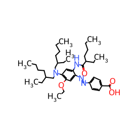 CCCCC(CC)CN(CC(CC)CCCC)c1cc(NC(=O)C(CC)CCCC)c(N=Nc2ccc(C(=O)O)cc2)cc1OCC